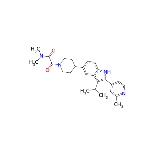 Cc1cc(-c2[nH]c3ccc(C4CCN(C(=O)C(=O)N(C)C)CC4)cc3c2C(C)C)ccn1